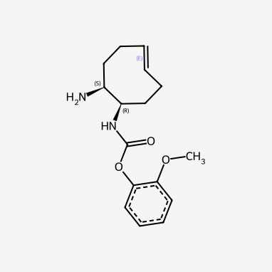 COc1ccccc1OC(=O)N[C@@H]1CC/C=C/CC[C@@H]1N